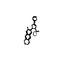 CC(=O)C1C=C(C2=CC=CC2)CC1C1C=c2cc3c(cc2=CC1C)CCCC3